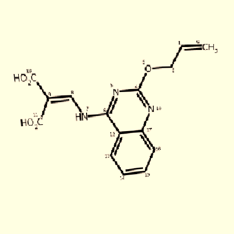 C=CCOc1nc(NC=C(C(=O)O)C(=O)O)c2ccccc2n1